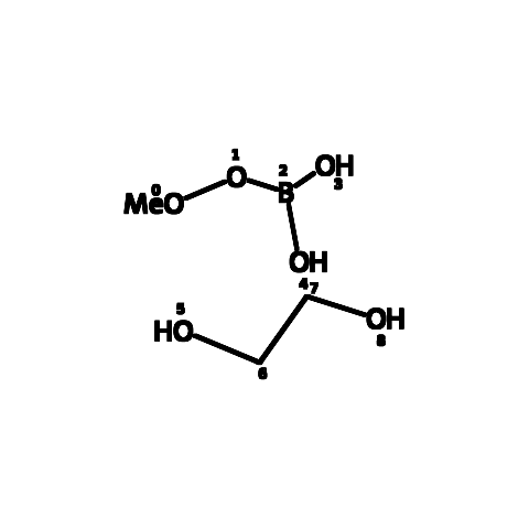 COOB(O)O.OCCO